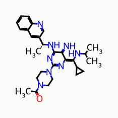 CC(=O)N1CCN(C2=N/C(=C(/NC(C)C)C3CC3)C(=N)C(N[C@H](C)c3cnc4ccccc4c3)=N2)CC1